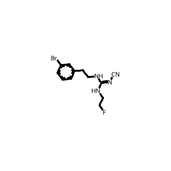 N#C/N=C(/NCCF)NCCc1cccc(Br)c1